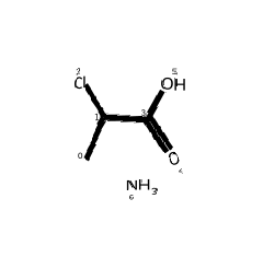 CC(Cl)C(=O)O.N